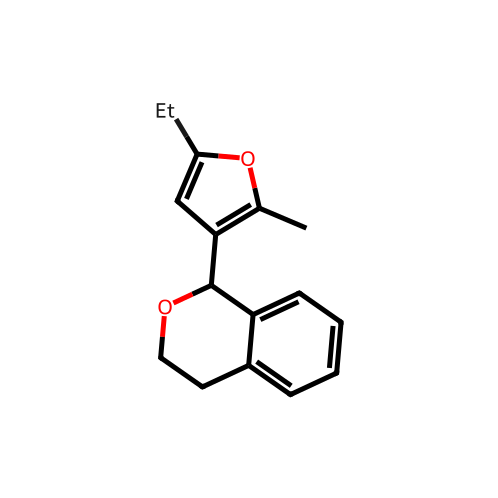 CCc1cc(C2OCCc3ccccc32)c(C)o1